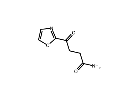 NC(=O)C[CH]C(=O)c1ncco1